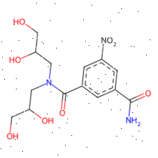 NC(=O)c1cc(C(=O)N(CC(O)CO)CC(O)CO)cc([N+](=O)[O-])c1